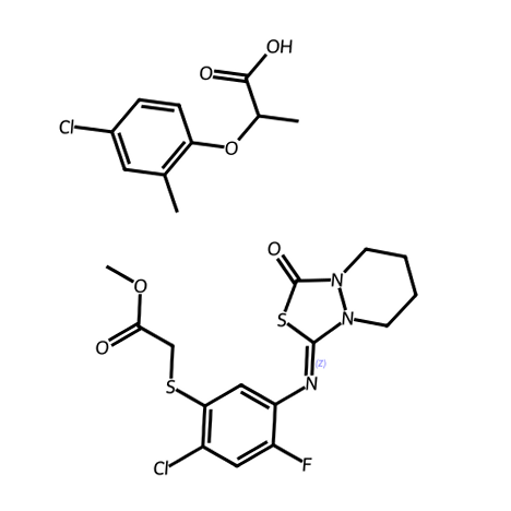 COC(=O)CSc1cc(/N=c2\sc(=O)n3n2CCCC3)c(F)cc1Cl.Cc1cc(Cl)ccc1OC(C)C(=O)O